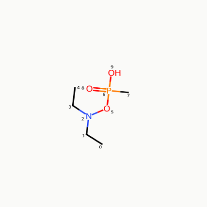 CCN(CC)OP(C)(=O)O